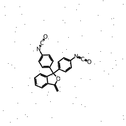 C=C1OC(c2ccc(N=C=O)cc2)(c2ccc(N=C=O)cc2)c2ccccc21